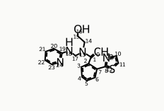 C=C(c1ccccc1-c1nccs1)N(CCO)CNc1ccccn1